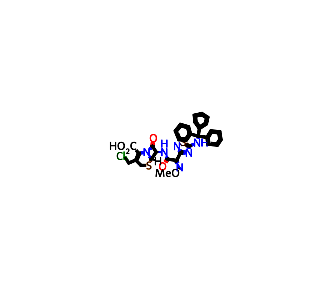 CO/N=C(\C(=O)N[C@@H]1C(=O)N2C(C(=O)O)=C(CCl)CS[C@H]12)c1nsc(NC(c2ccccc2)(c2ccccc2)c2ccccc2)n1